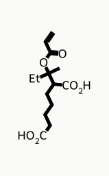 [CH2]CC(C)(OC(=O)C=C)C(CCCCC(=O)O)C(=O)O